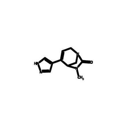 CN1C(=O)N2CC=C(c3cn[nH]c3)C1C2